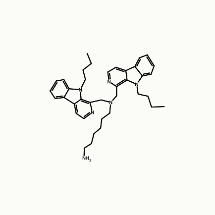 CCCCn1c2ccccc2c2ccnc(CN(CCCCCCN)Cc3nccc4c5ccccc5n(CCCC)c34)c21